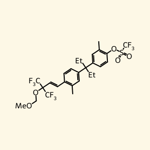 CCC(CC)(c1ccc(C=CC(OCOC)(C(F)(F)F)C(F)(F)F)c(C)c1)c1ccc(OS(=O)(=O)C(F)(F)F)c(C)c1